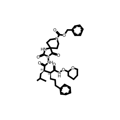 CC(C)C[C@@H](C(=O)NN1C(=O)NC2(CCN(C(=O)OCc3ccccc3)CC2)C1=O)[C@H](CCCc1ccccc1)C(=O)NOC1CCCCO1